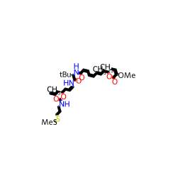 C/C=C\C[C@@H](C/C=C\NC(=O)[C@@H](NC(=O)\C=C/C=C\C(C)=C\[C@H](C)[C@@H]1CC=C(OC)C(=O)O1)C(C)(C)C)OC(=O)NCCCSSC